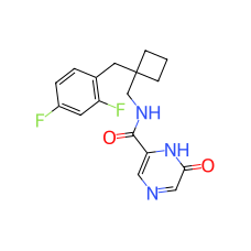 O=C(NCC1(Cc2ccc(F)cc2F)CCC1)c1cncc(=O)[nH]1